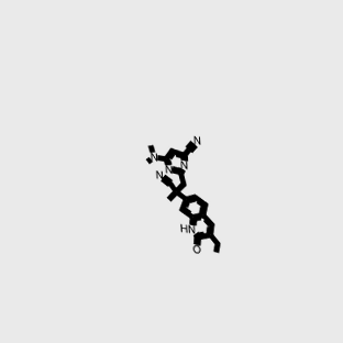 CCc1cc2ccc(C(C)(C#N)Cc3nc(C#N)cc(N(C)C)n3)cc2[nH]c1=O